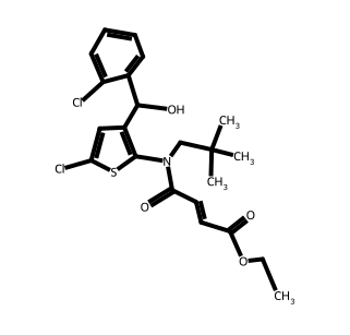 CCOC(=O)C=CC(=O)N(CC(C)(C)C)c1sc(Cl)cc1C(O)c1ccccc1Cl